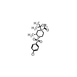 C[C@H]1C[N+](C(=O)[O-])(C(C)(C)C)CCN1S(=O)(=O)c1ccc(Cl)cc1